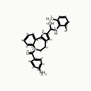 Cc1cccc(F)c1NC(O)c1cc2c(s1)-c1ccccc1N(C(=O)c1ccc(N)cc1)CC2